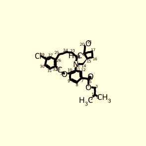 CC(C)COC(=O)c1ccc2c(c1)N(C[C@@H]1CC[C@]1(C)C=O)CCCCc1cc(Cl)ccc1CO2